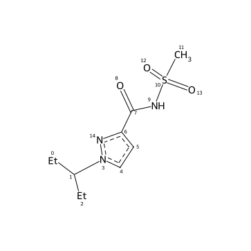 CCC(CC)n1ccc(C(=O)NS(C)(=O)=O)n1